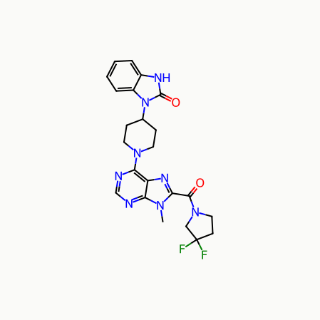 Cn1c(C(=O)N2CCC(F)(F)C2)nc2c(N3CCC(n4c(=O)[nH]c5ccccc54)CC3)ncnc21